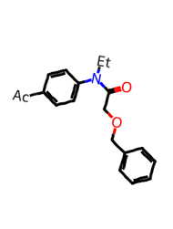 CCN(C(=O)COCc1ccccc1)c1ccc(C(C)=O)cc1